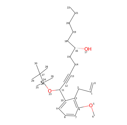 C=CCc1c(OC)cccc1C(C#CCC[C@@H](O)CCCCC)O[Si](C)(C)C(C)(C)C